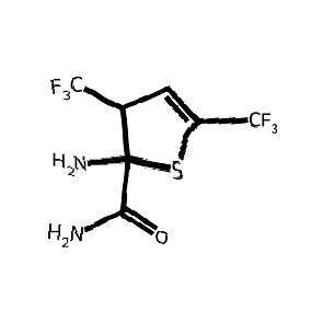 NC(=O)C1(N)SC(C(F)(F)F)=CC1C(F)(F)F